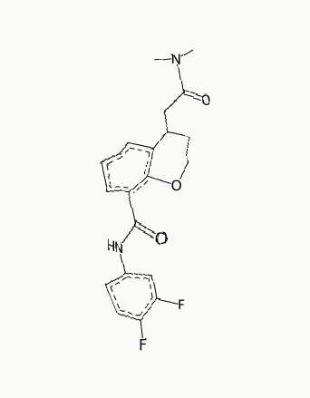 CN(C)C(=O)CC1CCOc2c(C(=O)Nc3ccc(F)c(F)c3)cccc21